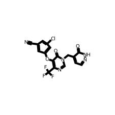 N#Cc1cc(Cl)cc(Oc2c(C(F)(F)F)ncn(Cc3ccn[nH]c3=O)c2=O)c1